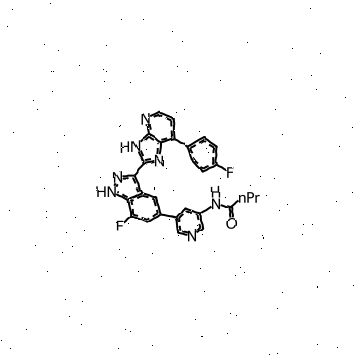 CCCC(=O)Nc1cncc(-c2cc(F)c3[nH]nc(-c4nc5c(-c6ccc(F)cc6)ccnc5[nH]4)c3c2)c1